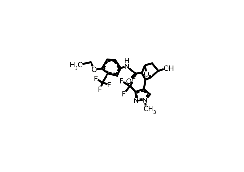 CCOc1ccc(NC(=O)C2C3CC(O)C(O3)C2c2cn(C)nc2C(F)(F)F)cc1C(F)(F)F